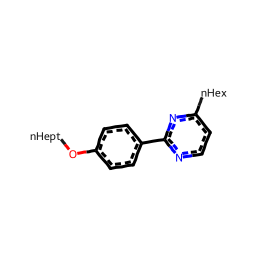 CCCCCCCOc1ccc(-c2nccc(CCCCCC)n2)cc1